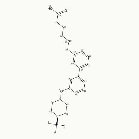 CC(C)(C)[C@H]1CC[C@H](Oc2cccc(-c3cccc(CNCCCC(=O)O)c3)c2)CC1